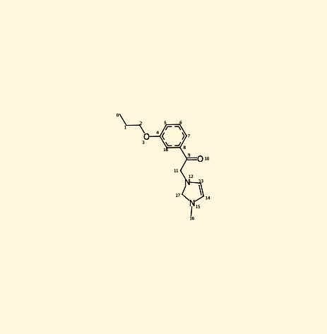 CCCOc1cccc(C(=O)CN2C=CN(C)C2)c1